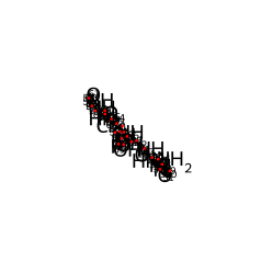 Cc1c(NC(=O)c2ccc(CNCCNC(=O)CCCNc3nc(N)n4nc(-c5ccco5)nc4n3)cn2)cccc1-c1cccc(NC(=O)c2ccc(CNC[C@@H]3CCC(=O)N3)cn2)c1Cl.O=C(O)C(F)(F)F